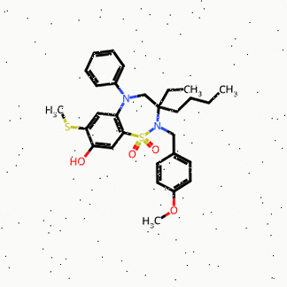 CCCCC1(CC)CN(c2ccccc2)c2cc(SC)c(O)cc2S(=O)(=O)N1Cc1ccc(OC)cc1